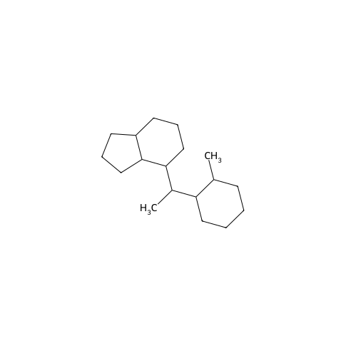 CC1CCCCC1C(C)C1CCCC2CCCC21